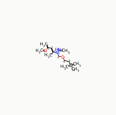 C=C(/C=C(\C)N(COCC[Si](C)(C)C)NC)OC